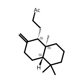 C=C1CC[C@H]2C(C)(C)CCC[C@]2(C)[C@H]1CCC(C)=O